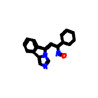 O=NC(CC1c2ccccc2-c2cncn21)C1CCCCC1